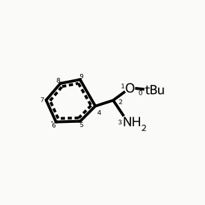 CC(C)(C)OC(N)c1c[c]ccc1